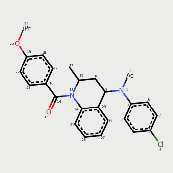 CC(=O)N(c1ccc(Cl)cc1)C1CC(C)N(C(=O)c2ccc(OC(C)C)cc2)c2ccccc21